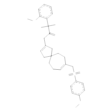 COc1ccc(S(=O)(=O)CC2=CCCC3(CC=C(CC(=O)C(C)(C)c4ccccc4OC)C3)CC2)cc1